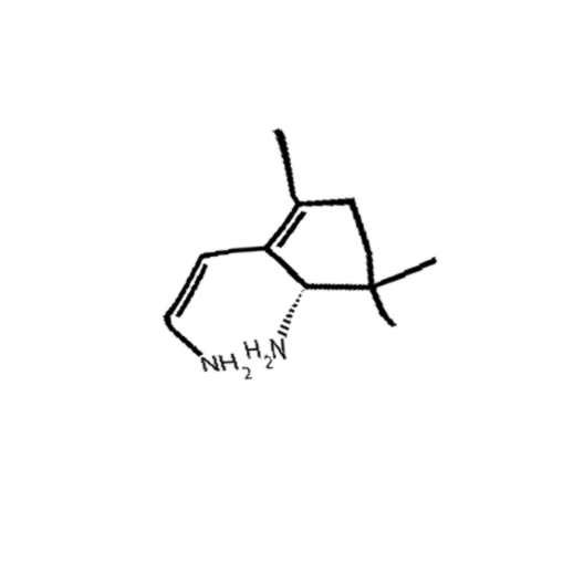 CC1=C(/C=C\N)[C@@H](N)C(C)(C)C1